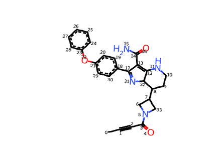 CC#CC(=O)N1CC(C2CCNC3=C(C(N)=O)C(c4ccc(Oc5ccccc5)cc4)=NC32)C1